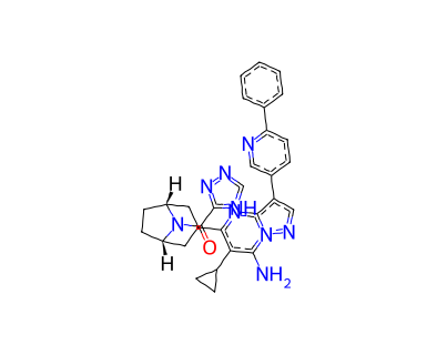 Nc1c(C2CC2)c(C2C[C@H]3CC[C@@H](C2)N3C(=O)c2nnc[nH]2)nc2c(-c3ccc(-c4ccccc4)nc3)cnn12